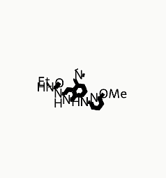 CCNC(=O)Nc1cc2c(CN(C)C)ccc(Nc3cccc(OC)n3)c2cn1